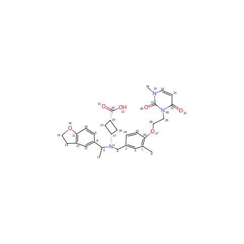 Cc1cc(CN(C(C)c2ccc3c(c2)CCO3)[C@H]2C[C@@H](C(=O)O)C2)ccc1OCCn1c(=O)ccn(C)c1=O